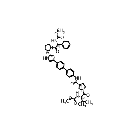 COC(=O)N[C@H](C(=O)N1CC[C@H](C(=O)Nc2ccc(-c3ccc(-c4c[nH]c([C@@H]5CCCN5C(=O)[C@H](NC(=O)OC)c5ccccc5)n4)cc3)cc2)C1)C(C)C